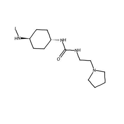 O=C(NCCN1CCCC1)N[C@H]1CC[C@H](NI)CC1